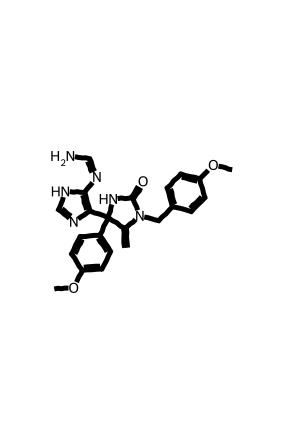 C=C1N(Cc2ccc(OC)cc2)C(=O)NC1(c1ccc(OC)cc1)c1nc[nH]c1/N=C\N